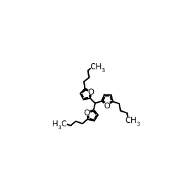 CCCCc1ccc(C(c2ccc(CCCC)o2)c2ccc(CCCC)o2)o1